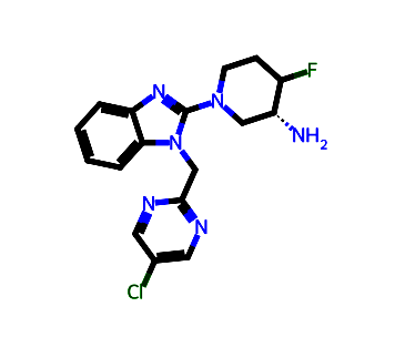 N[C@@H]1CN(c2nc3ccccc3n2Cc2ncc(Cl)cn2)CCC1F